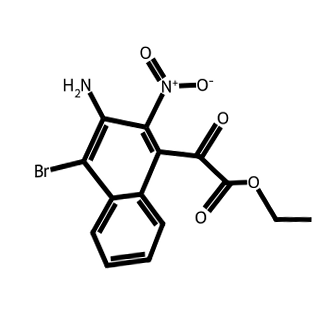 CCOC(=O)C(=O)c1c([N+](=O)[O-])c(N)c(Br)c2ccccc12